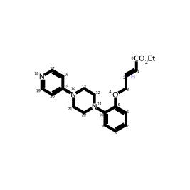 CCOC(=O)/C=C/COc1ccccc1N1CCN(c2ccncc2)CC1